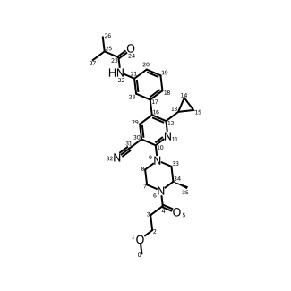 COCCC(=O)N1CCN(c2nc(C3CC3)c(-c3cccc(NC(=O)C(C)C)c3)cc2C#N)C[C@H]1C